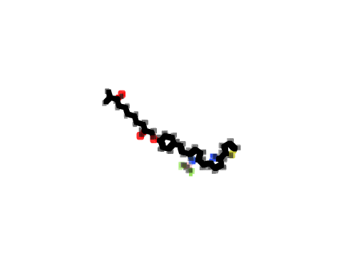 CC(C)C(=O)CCCCCCC(=O)COc1ccc(/C=C/c2ccc(/C=C3/C=CC(c4cccs4)=N3)n2B(F)F)cc1